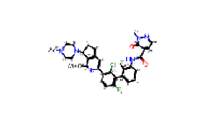 COc1nc(-c2ccc(F)c(-c3cccc(NC(=O)c4ccnn(C)c4=O)c3C)c2Cl)cc2c1[C@@H](N1CCN(C(C)=O)CC1)CC2